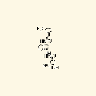 N#Cc1cc(C(=O)N/N=C/c2ccc(NC(=O)/C=C/c3cccc(C(F)(F)F)c3)c3ccccc23)ccc1O